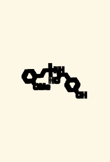 COc1ccccc1CCC(C)(C)NC(O)Cc1ccc(O)cc1